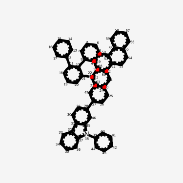 c1ccc(-c2ccccc2-c2c(-c3ccccc3)cccc2N(c2cccc(-c3ccc4c5ccccc5n(-c5ccccc5)c4c3)c2)c2ccc3c(ccc4ccccc43)c2)cc1